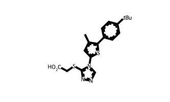 Cc1cc(-n2cnnc2SCC(=O)O)sc1-c1ccc(C(C)(C)C)cc1